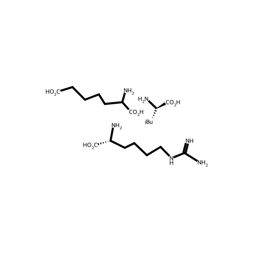 CC[C@@H](C)[C@@H](N)C(=O)O.N=C(N)NCCCC[C@@H](N)C(=O)O.NC(CCCCC(=O)O)C(=O)O